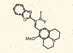 COc1c(/C=[N+](\B(F)F)c2nc3ccccc3o2)cc2c3c1CCCN3CCC2